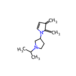 C=c1ccn(C2CCN(C(C)C)C2)c1=C